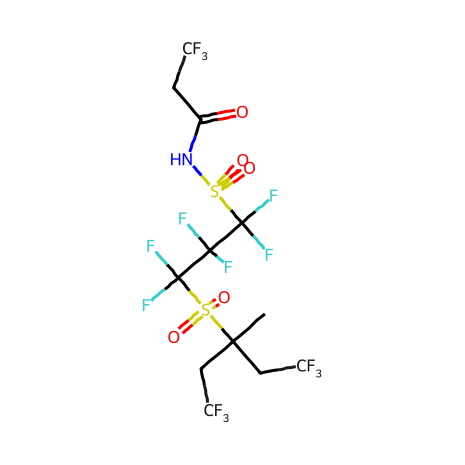 CC(CC(F)(F)F)(CC(F)(F)F)S(=O)(=O)C(F)(F)C(F)(F)C(F)(F)S(=O)(=O)NC(=O)CC(F)(F)F